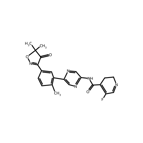 Cc1ccc(C2=NOC(C)(C)C2=O)cc1-c1cnc(NC(=O)C2=C(F)C=NCC2)cn1